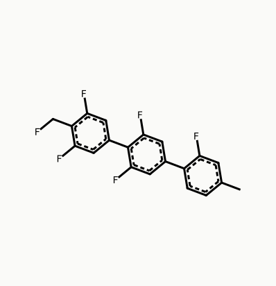 Cc1ccc(-c2cc(F)c(-c3cc(F)c(CF)c(F)c3)c(F)c2)c(F)c1